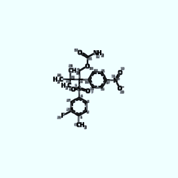 Cc1ccc(S(=O)(=O)C(COC(N)=O)(c2ccc([N+](=O)[O-])cc2)C(C)(C)C)cc1F